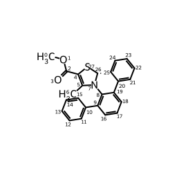 COC(=O)C1=C(C)N(c2c(-c3ccccc3)cccc2-c2ccccc2)[CH]S1